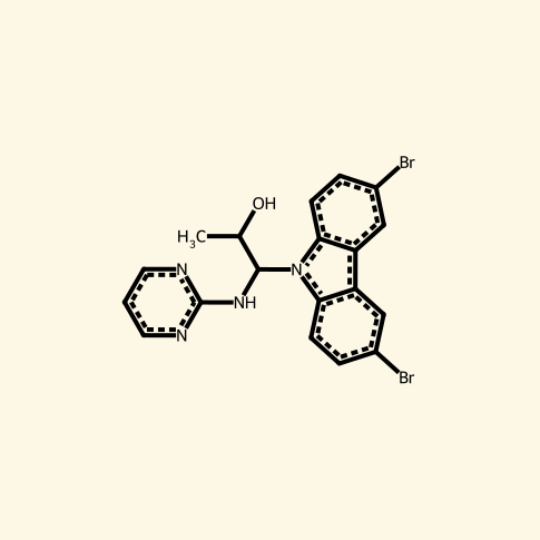 CC(O)C(Nc1ncccn1)n1c2ccc(Br)cc2c2cc(Br)ccc21